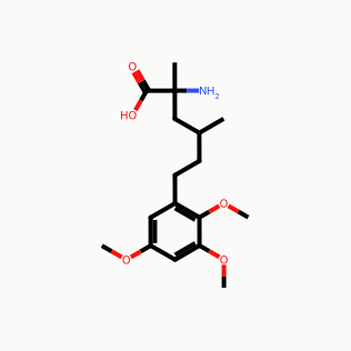 COc1cc(CCC(C)CC(C)(N)C(=O)O)c(OC)c(OC)c1